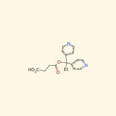 CCC(OC(=O)CCC(=O)O)(c1ccncc1)c1ccncc1